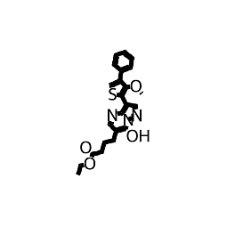 CCOC(=O)CCCc1cnc2c(-c3scc(-c4ccccc4)c3OC)cnn2c1O